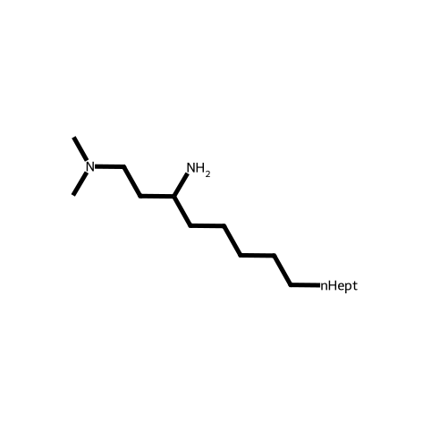 CCCCCCCCCCCCC(N)CCN(C)C